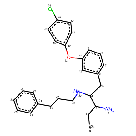 CC(C)CC(N)C(Cc1cccc(Oc2ccc(Cl)cc2)c1)NCCCc1ccccc1